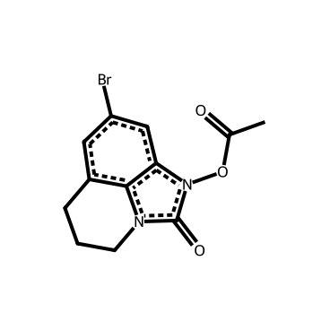 CC(=O)On1c(=O)n2c3c(cc(Br)cc31)CCC2